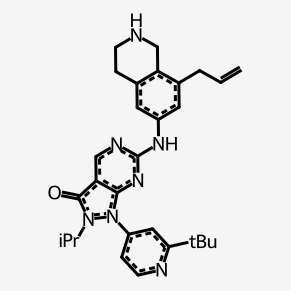 C=CCc1cc(Nc2ncc3c(=O)n(C(C)C)n(-c4ccnc(C(C)(C)C)c4)c3n2)cc2c1CNCC2